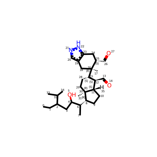 CCC(CC(O)C(C)[C@H]1CC[C@H]2[C@H](C=O)[C@@H]([C@@]3(C)Cc4cn[nH]c4C[C@@H]3C=O)CC[C@]12C)C(C)C